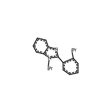 CC(C)c1ccccc1-c1nc2ccccc2n1C(C)C